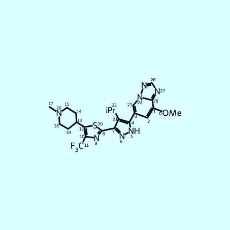 COc1cc(-c2[nH]nc(-c3nc(C(F)(F)F)c(C4CCN(C)CC4)s3)c2C(C)C)cn2ncnc12